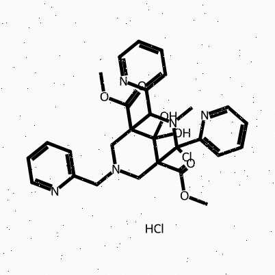 COC(=O)C12CN(Cc3ccccn3)CC(C(=O)OC)(C(Cl)(c3ccccn3)N(C)C1c1ccccn1)C2(O)O.Cl